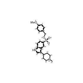 COc1ccc(COS(=O)(=O)c2ccc3[nH]cc(C4CCN(C)CC4)c3c2)cc1